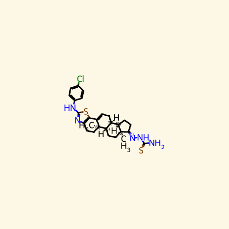 C[C@]12CCc3nc(Nc4ccc(Cl)cc4)sc3C1=CC[C@@H]1[C@@H]2CC[C@]2(C)/C(=N/NC(N)=S)CC[C@@H]12